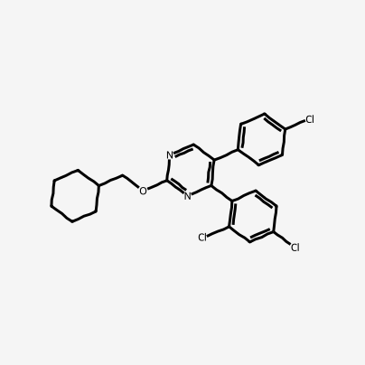 Clc1ccc(-c2cnc(OCC3CCCCC3)nc2-c2ccc(Cl)cc2Cl)cc1